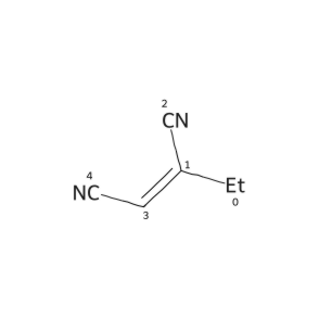 CC/C(C#N)=C/C#N